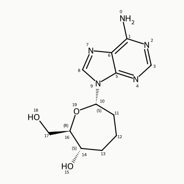 Nc1ncnc2c1ncn2[C@@H]1CCC[C@H](O)[C@@H](CO)O1